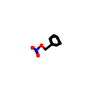 O=[N+]([O-])O[CH]c1ccccc1